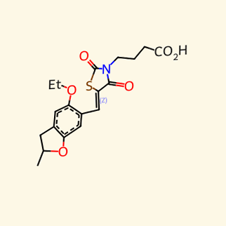 CCOc1cc2c(cc1/C=C1\SC(=O)N(CCCC(=O)O)C1=O)OC(C)C2